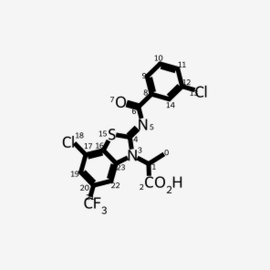 CC(C(=O)O)n1c(=NC(=O)c2cccc(Cl)c2)sc2c(Cl)cc(C(F)(F)F)cc21